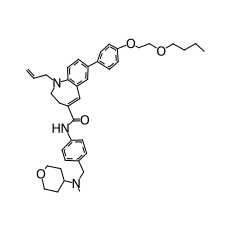 C=CCN1CCC(C(=O)Nc2ccc(CN(C)C3CCOCC3)cc2)=Cc2cc(-c3ccc(OCCOCCCC)cc3)ccc21